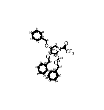 O=C(N1C[C@@H](OCc2ccccc2)[C@H](OCc2ccccc2)[C@H]1COCc1ccccc1)C(F)(F)F